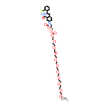 COCCOCCOCCOCCOCCOCCOCCOCCOCCOCCOC(=O)OC[C@@H]1CN(c2ccc3cc(-c4ccccc4C(F)(F)F)[nH]c(=O)c3c2)C(=O)O1